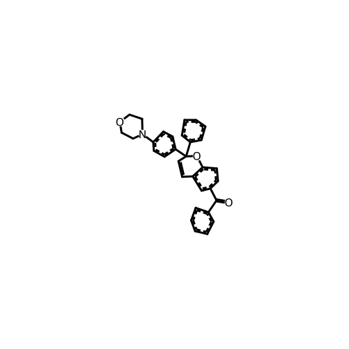 O=C(c1ccccc1)c1ccc2c(c1)C=CC(c1ccccc1)(c1ccc(N3CCOCC3)cc1)O2